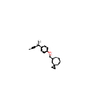 CC#C[C@@H](CC)c1ccc(OCC2CCCCC3(CC3)C2)cc1